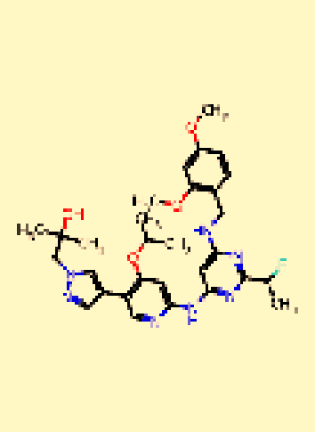 COc1ccc(CNc2cc(Nc3cc(OC(C)C)c(-c4cnn(CC(C)(C)O)c4)cn3)nc([C@H](C)F)n2)c(OC)c1